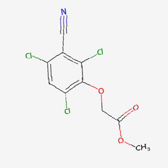 COC(=O)COc1c(Cl)cc(Cl)c(C#N)c1Cl